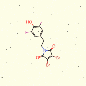 O=C1C(Br)=C(Br)C(=O)N1CCc1cc(I)c(O)c(I)c1